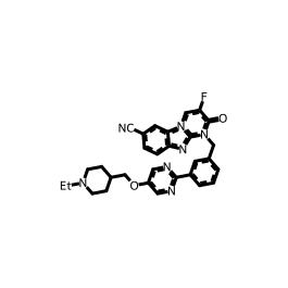 CCN1CCC(COc2cnc(-c3cccc(Cn4c(=O)c(F)cn5c6cc(C#N)ccc6nc45)c3)nc2)CC1